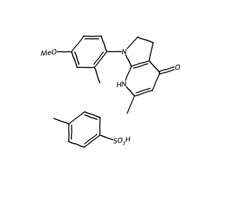 COc1ccc(N2CCc3c2[nH]c(C)cc3=O)c(C)c1.Cc1ccc(S(=O)(=O)O)cc1